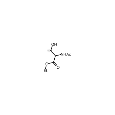 CCOC(=O)C(NO)NC(C)=O